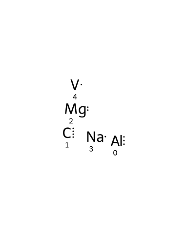 [Al].[C].[Mg].[Na].[V]